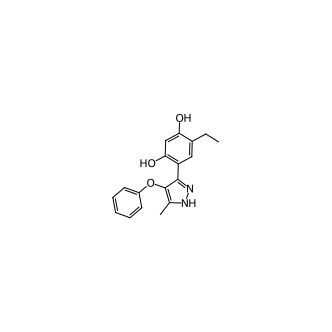 CCc1cc(-c2n[nH]c(C)c2Oc2ccccc2)c(O)cc1O